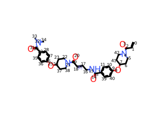 C=CC(=O)N1CCC(Oc2ccc(C(=O)NC/C=C/C(=O)N3CCC(Oc4ccc(C(=O)N(C)C)cc4)CC3)cc2)CC1